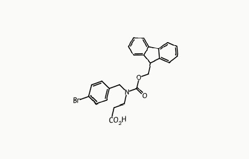 O=C(O)CCN(Cc1ccc(Br)cc1)C(=O)OCC1c2ccccc2-c2ccccc21